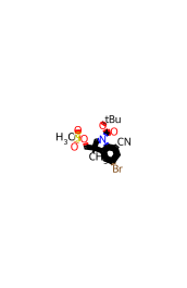 CC(C)(C)OC(=O)N1C[C@@](C)(COS(C)(=O)=O)c2cc(Br)cc(C#N)c21